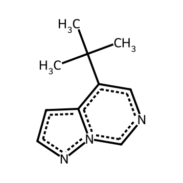 CC(C)(C)c1cncn2nccc12